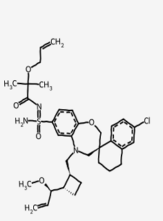 C=CCOC(C)(C)C(=O)N=S(N)(=O)c1ccc2c(c1)N(C[C@H]1CC[C@@H]1[C@@H](C=C)OC)C[C@@]1(CCCc3cc(Cl)ccc31)CO2